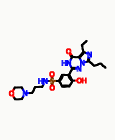 CCCc1nc(CC)c2c(=O)[nH]c(-c3cc(S(=O)(=O)NCCCN4CCOCC4)ccc3O)nn12